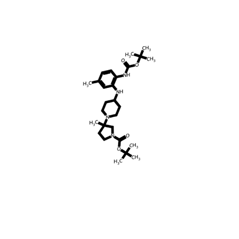 Cc1ccc(NC(=O)OC(C)(C)C)c(NC2CCN(C3(C)CCN(C(=O)OC(C)(C)C)C3)CC2)c1